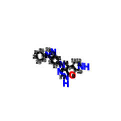 O=c1[nH]cnc2c1c(C1=CCNCC1)cn2-c1ccc2c(c1)ncn2C1CCCCC1